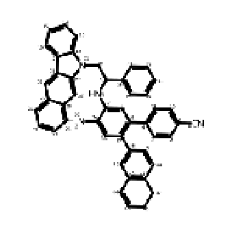 N#Cc1ccc(-c2cc(NC(Cn3c4ccccc4c4cc5ccccc5cc43)c3ccccc3)c(N)cc2-c2ccc3c(c2)C=CCC3)cc1